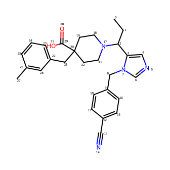 CCC(c1cncn1Cc1ccc(C#N)cc1)N1CCC(Cc2cccc(C)c2)(C(=O)O)CC1